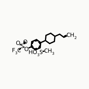 C=CCC1CCC(c2ccc(OS(=O)(=O)C(F)(F)F)cc2)CC1.CS(=O)(=O)O